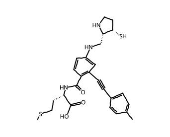 CSCC[C@H](NC(=O)c1ccc(NC[C@@H]2NCC[C@@H]2S)cc1C#Cc1ccc(C)cc1)C(=O)O